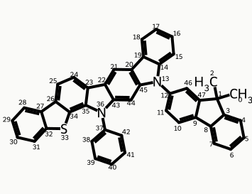 CC1(C)c2ccccc2-c2ccc(-n3c4ccccc4c4cc5c6ccc7c8ccccc8sc7c6n(-c6ccccc6)c5cc43)cc21